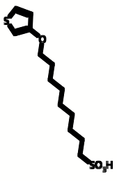 O=S(=O)(O)CCCCCCCCCOc1ccsc1